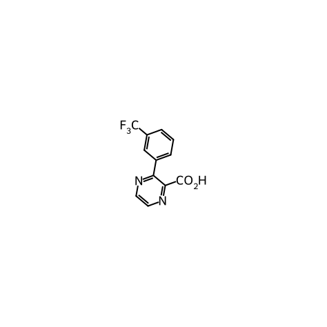 O=C(O)c1nccnc1-c1cccc(C(F)(F)F)c1